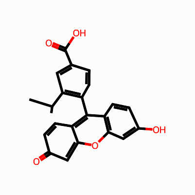 CC(C)c1cc(C(=O)O)ccc1-c1c2ccc(=O)cc-2oc2cc(O)ccc12